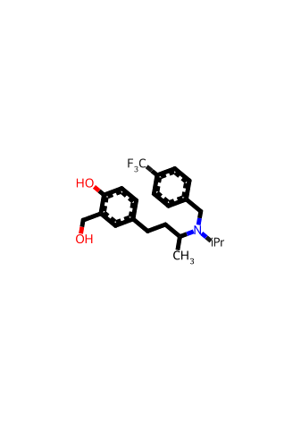 CC(C)N(Cc1ccc(C(F)(F)F)cc1)C(C)CCc1ccc(O)c(CO)c1